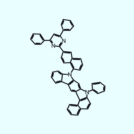 c1ccc(-c2cc(-c3ccccc3)nc(-c3ccc4c(-n5c6ccccc6c6cc7c8c9ccccc9ccc8n(-c8ccccc8)c7cc65)cccc4c3)n2)cc1